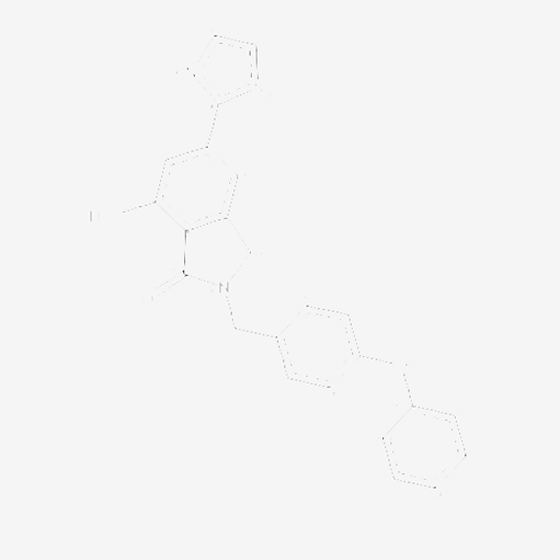 Cc1cc(-c2nccs2)cc2c1C(=O)N(Cc1ccc(Oc3ccccc3)cc1)C2